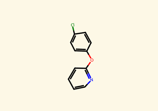 Clc1ccc(Oc2ccc[c]n2)cc1